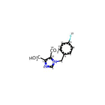 O=C(O)c1ncn(Cc2ccc(F)cc2)c1C(=O)O